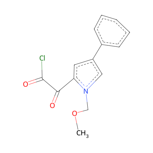 COCn1cc(-c2ccccc2)cc1C(=O)C(=O)Cl